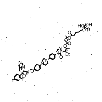 CC[C@@H]([C@H](C)OC(=O)OC(C)OC(=O)CCCCOP(=O)(O)O)n1ncn(-c2ccc(N3CCN(c4ccc(OC[C@@H]5CO[C@@](Cn6cncn6)(c6ccc(F)cc6F)C5)cc4)CC3)cc2)c1=O